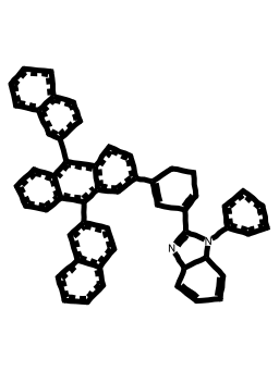 C1=CC2N=C(C3=CCCC(c4ccc5c(-c6ccc7ccccc7c6)c6ccccc6c(-c6ccc7ccccc7c6)c5c4)=C3)N(c3ccccc3)C2C=C1